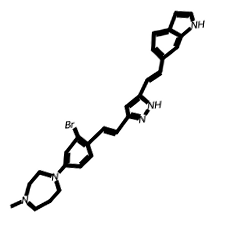 CN1CCCN(c2ccc(C=Cc3cc(C=Cc4ccc5cc[nH]c5c4)[nH]n3)c(Br)c2)CC1